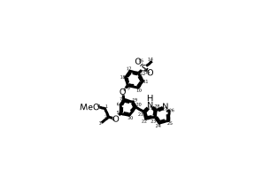 COCC(C)Oc1cc(Oc2ccc(S(C)(=O)=O)cc2)cc(-c2cc3cccnc3[nH]2)c1